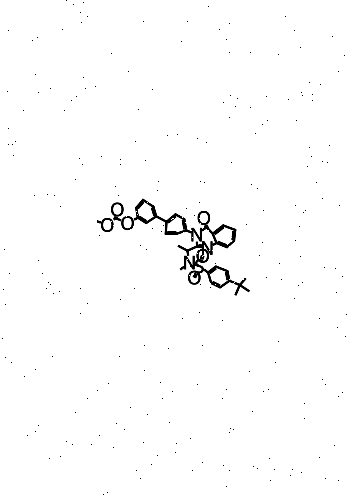 COC(=O)Oc1cccc(-c2ccc(-n3c(C(C)N(C)S(=O)(=O)c4ccc(C(C)(C)C)cc4)nc4ccccc4c3=O)cc2)c1